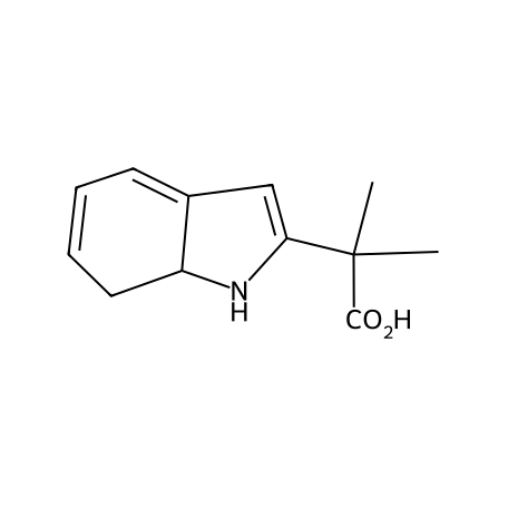 CC(C)(C(=O)O)C1=CC2=CC=CCC2N1